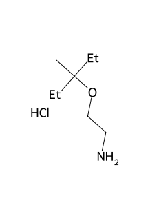 CCC(C)(CC)OCCN.Cl